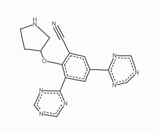 N#Cc1cc(-c2ncncn2)cc(-c2ncncn2)c1OC1CCNC1